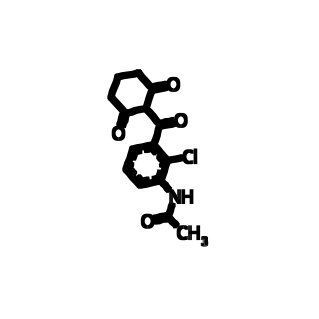 CC(=O)Nc1cccc(C(=O)C2C(=O)CCCC2=O)c1Cl